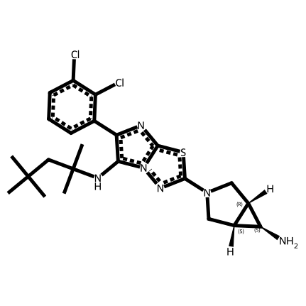 CC(C)(C)CC(C)(C)Nc1c(-c2cccc(Cl)c2Cl)nc2sc(N3C[C@@H]4[C@@H](N)[C@@H]4C3)nn12